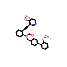 COc1ccncc1C#Cc1ccccc1N(C=O)Cc1ccc(-c2ccccc2OC)cc1